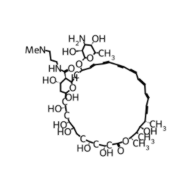 CNCCCNC(=O)[C@H]1[C@@H]2C[C@@H](O[C@@H]3O[C@H](C)[C@@H](O)[C@H](N)[C@@H]3O)/C=C/C=C/C=C/C=C/C=C/C=C/C=C/[C@H](C)[C@@H](O)[C@@H](C)[C@H](C)OC(=O)C[C@H](O)C[C@H](O)CC[C@@H](O)[C@H](O)C[C@H](O)C[C@](O)(C[C@@H]1O)O2